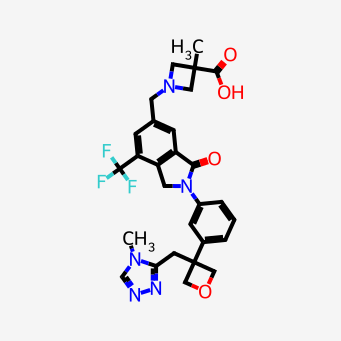 Cn1cnnc1CC1(c2cccc(N3Cc4c(cc(CN5CC(C)(C(=O)O)C5)cc4C(F)(F)F)C3=O)c2)COC1